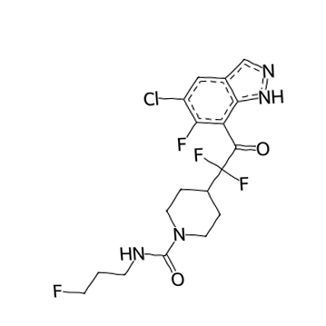 O=C(NCCCF)N1CCC(C(F)(F)C(=O)c2c(F)c(Cl)cc3cn[nH]c23)CC1